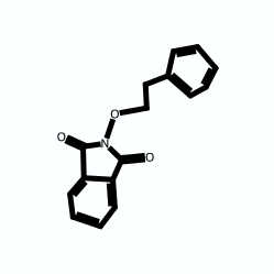 O=C1c2ccccc2C(=O)N1OCCc1ccccc1